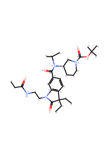 CCC(=O)NCCN1C(=O)C(CC)(CC)c2ccc(C(=O)N(C(C)C)[C@@H]3CCCN(C(=O)OC(C)(C)C)C3)cc21